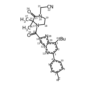 CC(C)(C)c1cc(-c2ccc(F)cc2)nn2cc(C(=O)N3CCN(CC#N)C(=O)C3(C)C)nc12